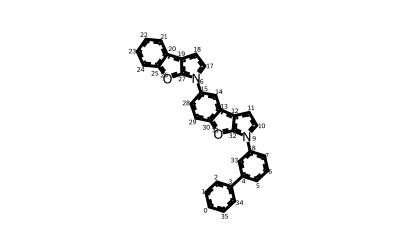 c1ccc(-c2cccc(-n3ccc4c5cc(-n6ccc7c8ccccc8oc76)ccc5oc43)c2)cc1